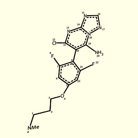 CNCCCOc1cc(F)c(-c2c(Cl)nc3ncnn3c2N)c(F)c1